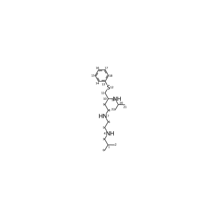 CC(C)CNCCNCCC(CSc1ccccc1)NC(C)C